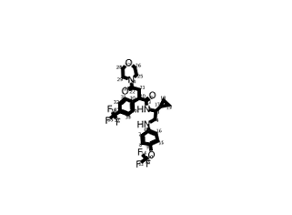 O=C(NC(CNc1ccc(OC(F)(F)F)cc1)C1CC1)C(CC(=O)N1CCOCC1)c1ccc(C(F)(F)F)cc1